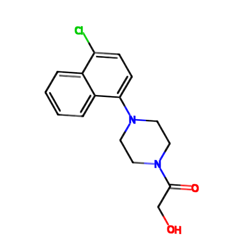 O=C(CO)N1CCN(c2ccc(Cl)c3ccccc23)CC1